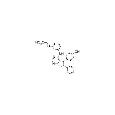 O=C(O)COc1cccc(Nc2ncnc3oc(-c4ccccc4)c(-c4ccc(O)cc4)c23)c1